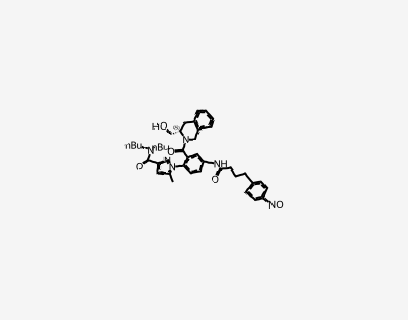 CCCCN(CCCC)C(=O)c1cc(C)n(-c2ccc(NC(=O)CCCc3ccc(N=O)cc3)cc2C(=O)N2Cc3ccccc3C[C@H]2CO)n1